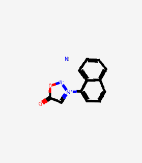 O=c1c[n+](-c2cccc3ccccc23)[n-]o1.[N]